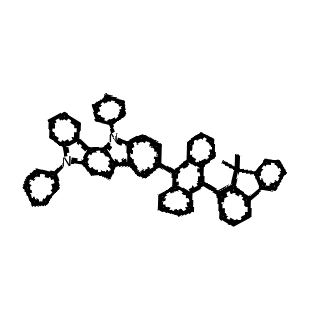 CC1(C)c2ccccc2-c2cccc(-c3c4ccccc4c(-c4ccc5c(c4)c4ccc6c(c7ccccc7n6-c6ccccc6)c4n5-c4ccccc4)c4ccccc34)c21